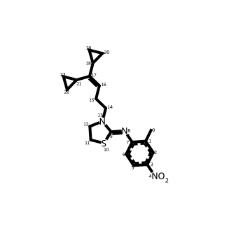 Cc1cc([N+](=O)[O-])ccc1/N=C1\SCCN1CCC=C(C1CC1)C1CC1